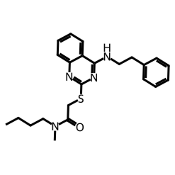 CCCCN(C)C(=O)CSc1nc(NCCc2ccccc2)c2ccccc2n1